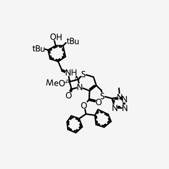 CO[C@@]1(N=Cc2cc(C(C)(C)C)c(O)c(C(C)(C)C)c2)C(=O)N2C(C(=O)OC(c3ccccc3)c3ccccc3)=C(CSc3nnnn3C)CS[C@H]21